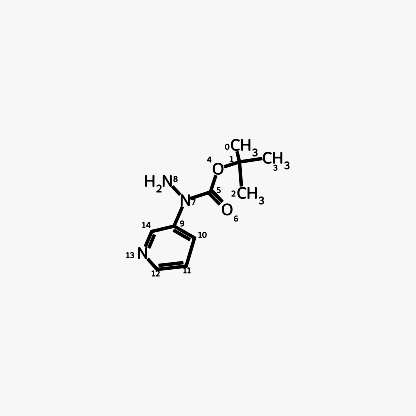 CC(C)(C)OC(=O)N(N)c1cccnc1